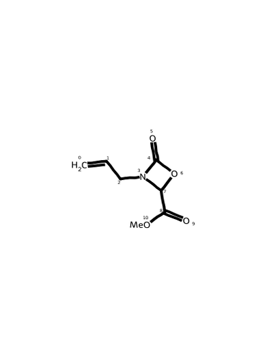 C=CCN1C(=O)OC1C(=O)OC